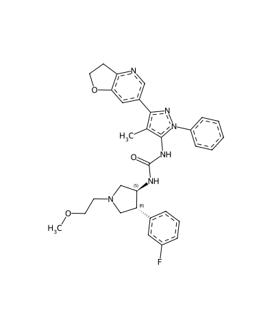 COCCN1C[C@@H](NC(=O)Nc2c(C)c(-c3cnc4c(c3)OCC4)nn2-c2ccccc2)[C@H](c2cccc(F)c2)C1